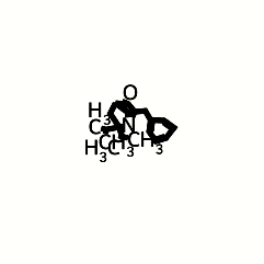 CC(C)C1(C(C)C)CC2CCN1C(Cc1ccccc1)C2=O